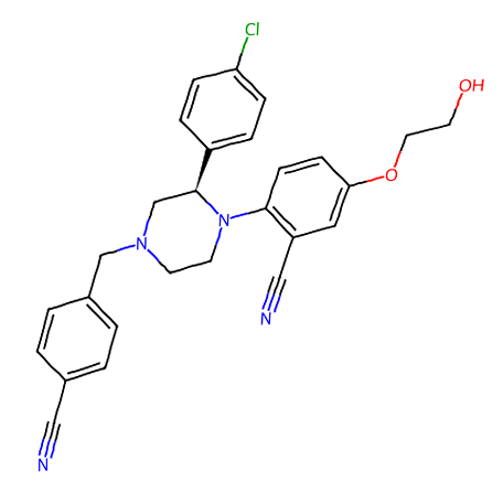 N#Cc1ccc(CN2CCN(c3ccc(OCCO)cc3C#N)[C@H](c3ccc(Cl)cc3)C2)cc1